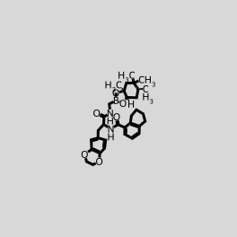 C[C@H]1C[C@H]2OB(CNC(=O)C(Cc3ccc4c(c3)OCCO4)NC(=O)c3cccc4c3CCCC4)O[C@@]2(C)CC1(C)C